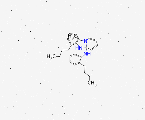 CCCCc1ccccc1NC1(Nc2ccccc2CCCC)C=CC=CN1CC